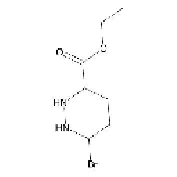 CCOC(=O)C1CCC(Br)NN1